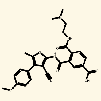 COc1ccc(-c2c(C)sc(NC(=O)c3cc(C(=O)O)ccc3C(=O)NCCN(C)C)c2C#N)cc1